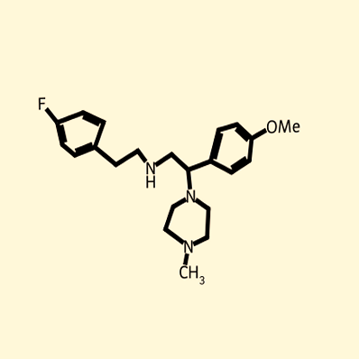 COc1ccc(C(CNCCc2ccc(F)cc2)N2CCN(C)CC2)cc1